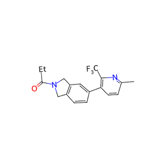 CCC(=O)N1Cc2ccc(-c3ccc(C)nc3C(F)(F)F)cc2C1